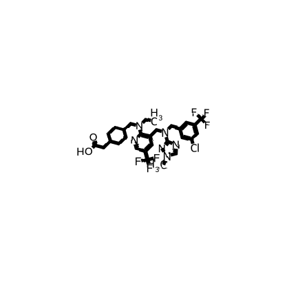 CCN(CC1CCC(CC(=O)O)CC1)c1ncc(C(F)(F)F)cc1CN(Cc1cc(Cl)cc(C(F)(F)F)c1)c1ncn(C)n1